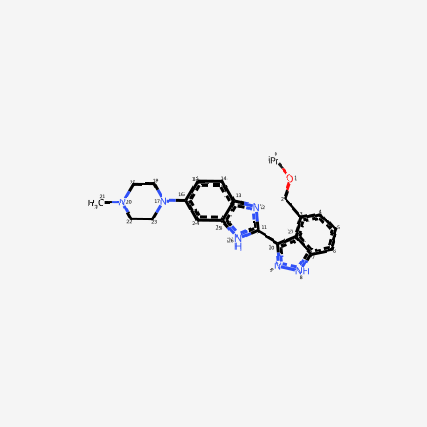 CC(C)OCc1cccc2[nH]nc(-c3nc4ccc(N5CCN(C)CC5)cc4[nH]3)c12